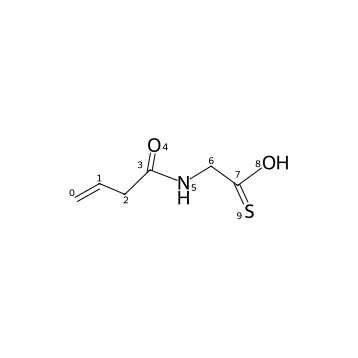 C=CCC(=O)NCC(O)=S